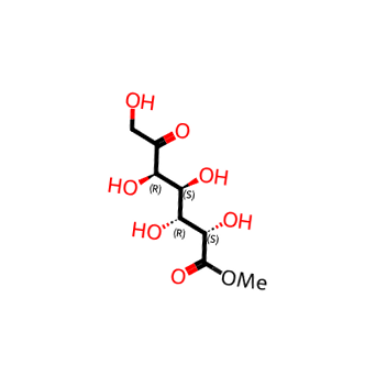 COC(=O)[C@@H](O)[C@H](O)[C@H](O)[C@@H](O)C(=O)CO